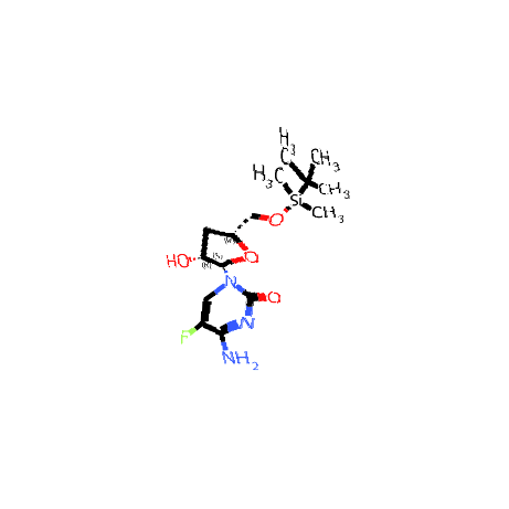 CC(C)(C)[Si](C)(C)OC[C@H]1C[C@@H](O)[C@@H](n2cc(F)c(N)nc2=O)O1